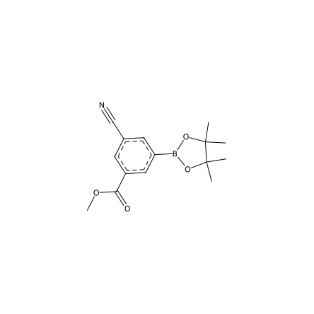 COC(=O)c1cc(C#N)cc(B2OC(C)(C)C(C)(C)O2)c1